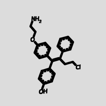 NCCOc1ccc(C(=C(CCCl)c2ccccc2)c2ccc(O)cc2)cc1